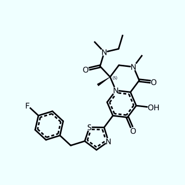 CCN(C)C(=O)[C@]1(C)CN(C)C(=O)c2c(O)c(=O)c(-c3ncc(Cc4ccc(F)cc4)s3)cn21